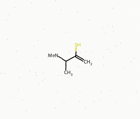 C=C(S)C(C)NC